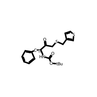 CC(C)(C)OC(=O)N[C@@H](Cc1ccccc1)C(=O)CSCc1ccsc1